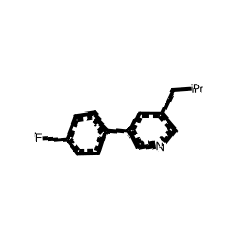 CC(C)Cc1cncc(-c2ccc(F)cc2)c1